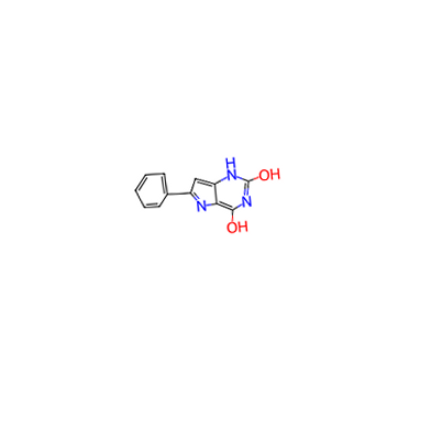 Oc1nc(O)c2nc(-c3ccccc3)cc-2[nH]1